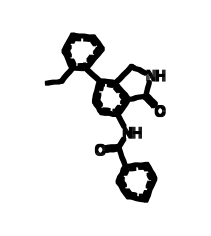 CCc1ccccc1-c1ccc(NC(=O)c2ccccc2)c2c1CNC2=O